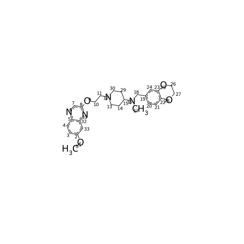 COc1ccc2ncc(OCCN3CCC(N(C)Cc4ccc5c(c4)OCCO5)CC3)nc2c1